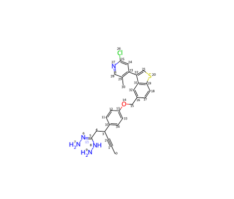 CC#CC(C/C(=N/N)NN)c1ccc(OCc2ccc3scc(-c4cc(Cl)ncc4C)c3c2)cc1